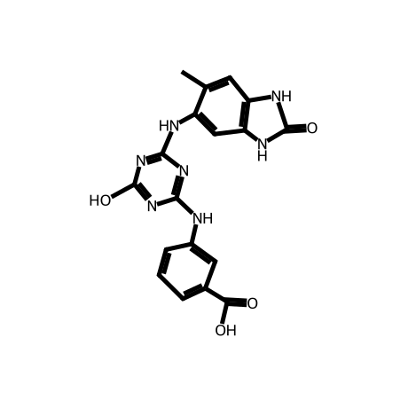 Cc1cc2[nH]c(=O)[nH]c2cc1Nc1nc(O)nc(Nc2cccc(C(=O)O)c2)n1